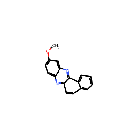 COc1ccc2nc3ccc4ccccc4c3nc2c1